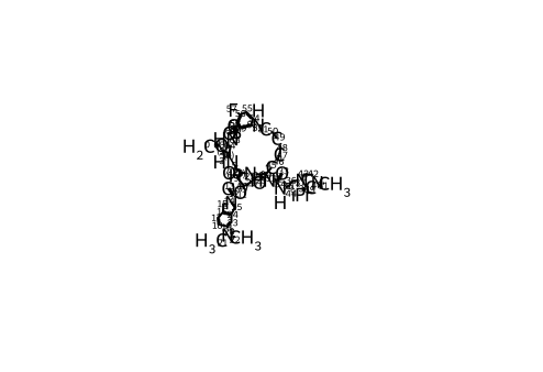 C=C[C@@H]1C[C@@]12NC(=O)[C@@H]1C[C@@H](OC(=O)N3Cc4ccc(N(C)C)cc4C3)CN1C(=O)[C@@H](NC(=O)N[C@H](CN1CCN(C)CC1)C(C)C)CCCCCCCNc1ccc(F)cc1S(=O)(=O)NC2=O